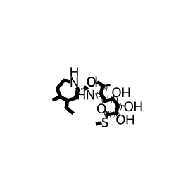 CCC1C[C@@H](C(=O)N[C@@H]([C@H]2O[C@H](SC)[C@H](O)[C@@H](O)[C@H]2O)[C@H](C)Cl)NCCC1C